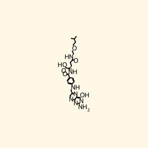 CC(C)CCOCCNC(=O)CC[C@@H](NC(=O)c1ccc(NCc2cnc3nc(N)nc(O)c3n2)cc1)C(=O)O